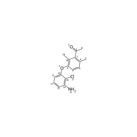 CC(=O)c1c(C)ccc(Oc2cccc(N)c2Cl)c1C